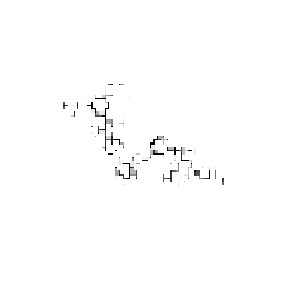 CN(C)CC(=O)Nc1cc(COc2nsnc2N2CCN(C(=O)Nc3cc(C(F)(F)F)cc(C(F)(F)F)c3)CC2)ccn1